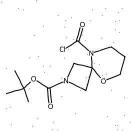 CC(C)(C)OC(=O)N1CC2(C1)OCCCN2C(=O)Cl